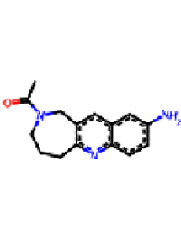 CC(=O)N1CCCc2nc3ccc(N)cc3cc2C1